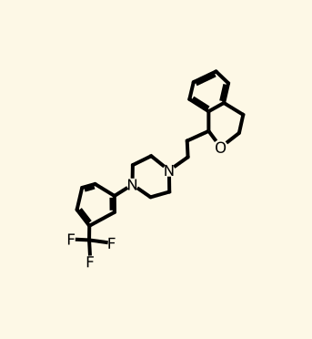 FC(F)(F)c1cccc(N2CCN(CCC3OCCc4ccccc43)CC2)c1